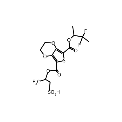 CC(OC(=O)c1sc(C(=O)OC(CS(=O)(=O)O)C(F)(F)F)c2c1OCCO2)C(C)(F)F